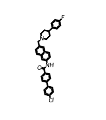 O=C(Nc1ccc2cc(CN3CCC(c4ccc(F)cc4)CC3)ccc2c1)c1ccc(-c2ccc(Cl)cc2)cc1